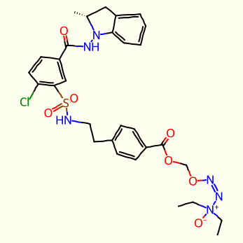 CC[N+]([O-])(CC)/N=N\OCOC(=O)c1ccc(CCNS(=O)(=O)c2cc(C(=O)NN3c4ccccc4C[C@H]3C)ccc2Cl)cc1